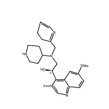 COc1ccc2ncc(F)c([C@@H](O)CN(CC3=NC=CCC3)C3CCNCC3)c2c1